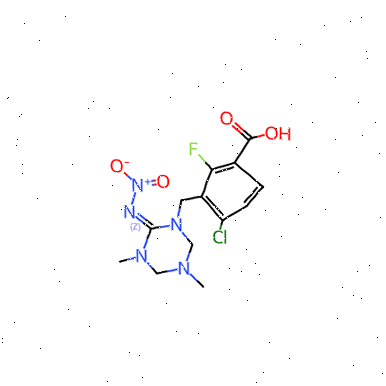 CN1CN(C)/C(=N/[N+](=O)[O-])N(Cc2c(Cl)ccc(C(=O)O)c2F)C1